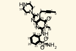 CC#CCn1c(N2CCNCC2)nc2nc(Nc3ccccc3S(N)(=O)=O)n(C)c(=O)c21